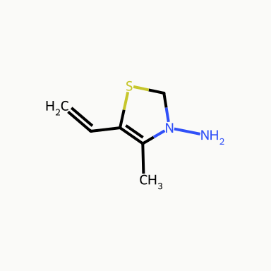 C=CC1=C(C)N(N)CS1